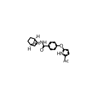 CC(=O)c1ccc(Oc2ccc(C(=O)N[C@@H]3C[C@H]4CC[C@@H]3N4)cc2)[nH]1